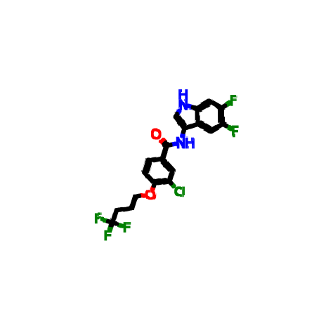 O=C(Nc1c[nH]c2cc(F)c(F)cc12)c1ccc(OCCCC(F)(F)F)c(Cl)c1